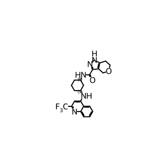 O=C(N[C@@H]1CCC[C@H](Nc2cc(C(F)(F)F)nc3ccccc23)C1)c1n[nH]c2c1COCC2